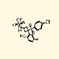 N#Cc1ccc(F)cc1C1(S(=O)(=O)c2ccc(Cl)cc2)CC(NS(=O)(=O)C(F)(F)F)C1